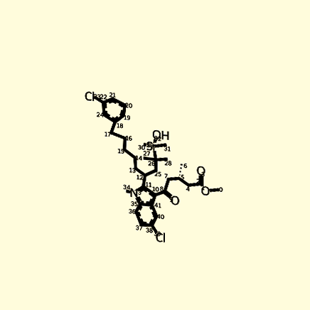 COC(=O)C[C@@H](C)CC(=O)c1c(C(CCCCCc2cccc(Cl)c2)CC(C)(C)[Si](C)(C)O)n(C)c2ccc(Cl)cc12